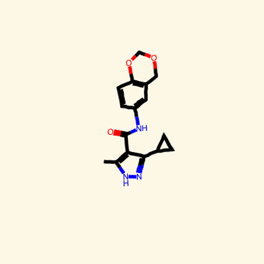 Cc1[nH]nc(C2CC2)c1C(=O)Nc1ccc2c(c1)COCO2